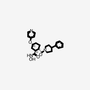 O=C(NO)[C@H]1C[C@H](Oc2ccncc2)CC[C@@H]1C(=O)N1CCC(c2ccccc2)CC1